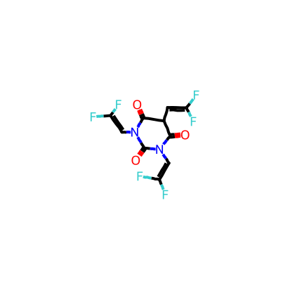 O=C1C(C=C(F)F)C(=O)N(C=C(F)F)C(=O)N1C=C(F)F